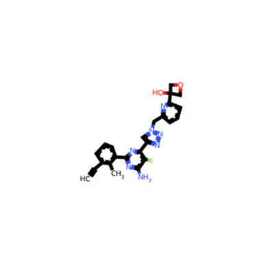 C#Cc1cccc(-c2nc(N)c(F)c(-c3cn(Cc4cccc(C5(O)COC5)n4)nn3)n2)c1C